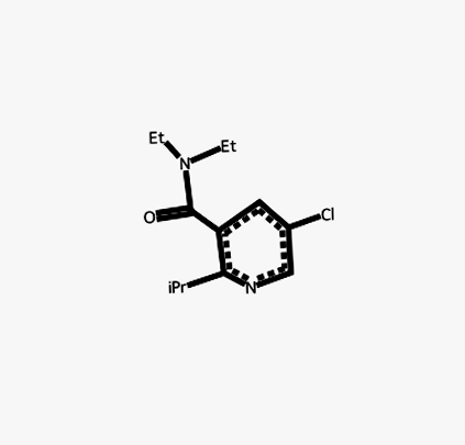 CCN(CC)C(=O)c1cc(Cl)cnc1C(C)C